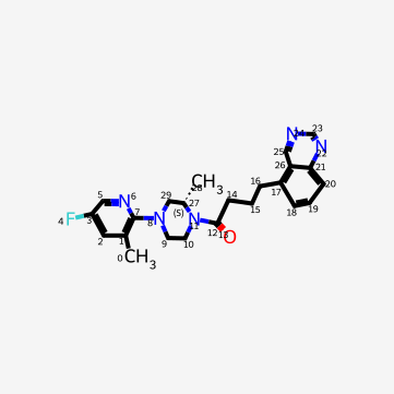 Cc1cc(F)cnc1N1CCN(C(=O)CCCc2cccc3ncncc23)[C@@H](C)C1